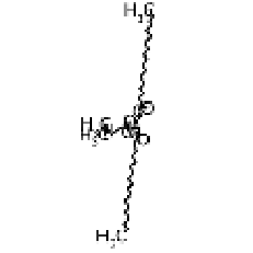 CCCCCCCCC=CCCCCCCCC(=O)OCC(COC(=O)CCCCCCCC=CCCCCCCCC)OC(=O)CCN(C)C